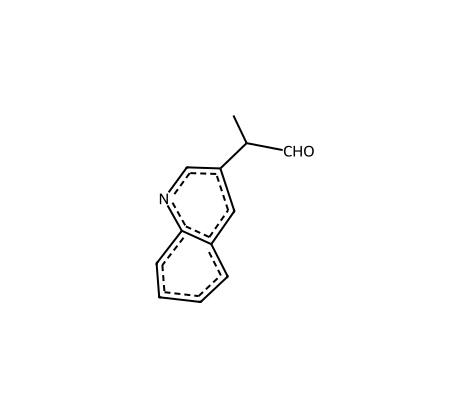 CC(C=O)c1cnc2ccccc2c1